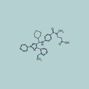 C=Cc1ccccc1-c1nn(-c2ccccc2)cc1C(Nc1ccc(C(=O)N(C)CCC(=O)O)cc1)C1CCCCC1